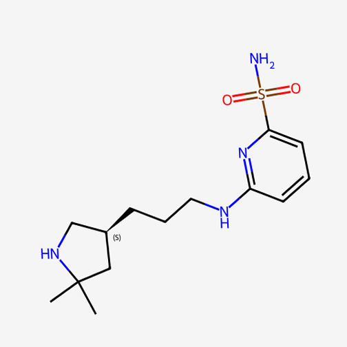 CC1(C)C[C@H](CCCNc2cccc(S(N)(=O)=O)n2)CN1